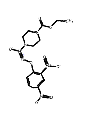 CCOC(=O)N1CCN(/[N+]([O-])=N\Oc2ccc([N+](=O)[O-])cc2[N+](=O)[O-])CC1